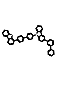 c1ccc(-c2cccc(-c3ccc4c(c3)c3ccccc3n4-c3ccc(-c4ccc(-c5cccc6c5sc5ccccc56)cc4)cc3)c2)cc1